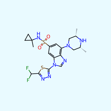 C[C@@H]1CN(c2cc(S(=O)(=O)NC3(C)CC3)cc3c2ncn3-c2nnc(C(F)F)s2)C[C@H](C)N1